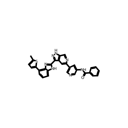 Cc1ccc(-c2cccc3[nH]c(-c4n[nH]c5cnc(-c6cncc(NC(=O)c7ccccc7)c6)cc45)nc23)s1